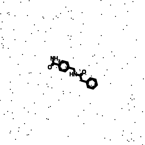 NC(=O)c1ccc(CNC(=O)[CH]c2ccccc2)cc1